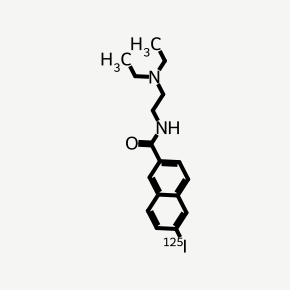 CCN(CC)CCNC(=O)c1ccc2cc([125I])ccc2c1